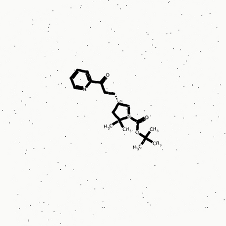 CC(C)(C)OC(=O)N1C[C@@H](CCC(=O)c2ccccn2)CC1(C)C